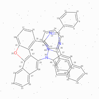 c1ccc(-c2nc(-c3ccccc3)nc(-c3cccc4oc5c6ccccc6cc(-n6c7ccccc7c7cc8ccccc8cc76)c5c34)n2)cc1